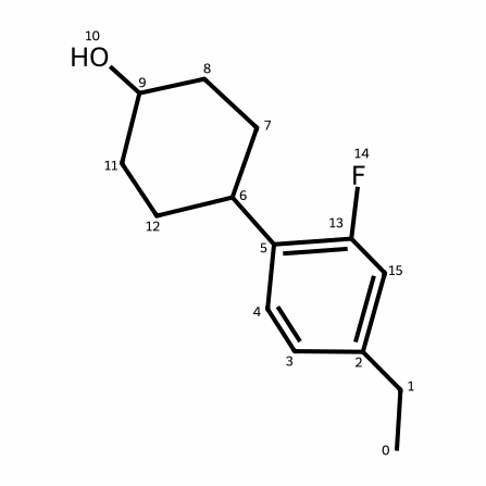 CCc1ccc(C2CCC(O)CC2)c(F)c1